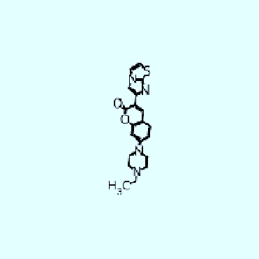 CCN1CCN(c2ccc3cc(-c4cn5ccsc5n4)c(=O)oc3c2)CC1